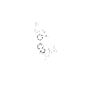 C[C@@H](C1CC1)N1Cc2cc(-c3ccn4nc(N)c(C(O)NC5CC5)c4n3)cc(S(C)(=O)=O)c2C1=O